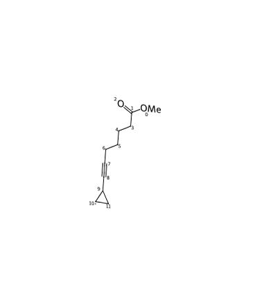 COC(=O)CCCCC#CC1[CH]C1